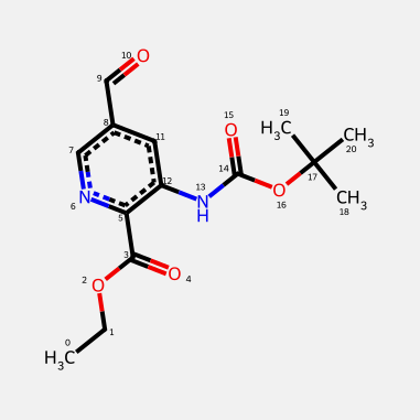 CCOC(=O)c1ncc(C=O)cc1NC(=O)OC(C)(C)C